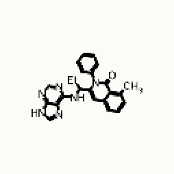 CCC(Nc1ncnc2[nH]cnc12)c1cc2cccc(C)c2c(=O)n1-c1ccccc1